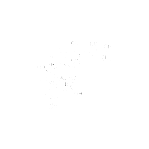 C[C@H](CCCC(C)(C)O)[C@H]1CC[C@H]2[C@@H]3[C@H](O)C=C4C[C@@H](O)CC(C(=O)O)[C@]4(C)[C@H]3CC[C@]12C